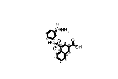 NNc1ccccc1.O=C(O)c1cc(S(=O)(=O)O)c2ccccc2c1